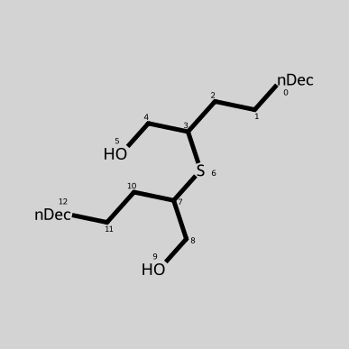 CCCCCCCCCCCCC(CO)SC(CO)CCCCCCCCCCCC